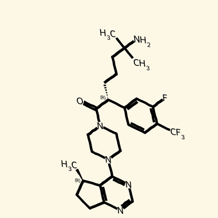 C[C@@H]1CCc2ncnc(N3CCN(C(=O)[C@H](CCCC(C)(C)N)c4ccc(C(F)(F)F)c(F)c4)CC3)c21